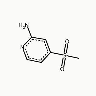 CS(=O)(=O)c1ccnc(N)c1